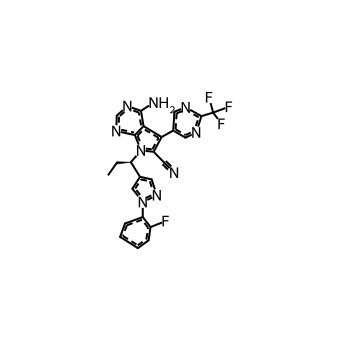 CC[C@H](c1cnn(-c2ccccc2F)c1)n1c(C#N)c(-c2cnc(C(F)(F)F)nc2)c2c(N)ncnc21